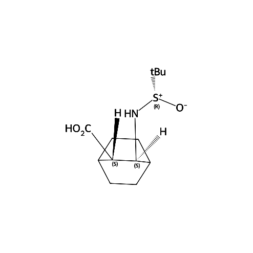 CC(C)(C)[S@+]([O-])N[C@H]1C2CCC(CC2)[C@@H]1C(=O)O